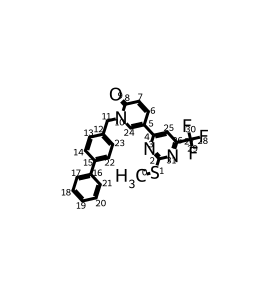 CSc1nc(-c2ccc(=O)n(Cc3ccc(-c4ccccc4)cc3)c2)cc(C(F)(F)F)n1